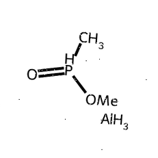 CO[PH](C)=O.[AlH3]